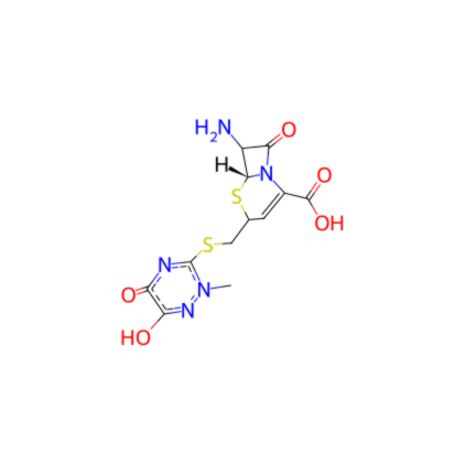 Cn1nc(O)c(=O)nc1SCC1C=C(C(=O)O)N2C(=O)C(N)[C@H]2S1